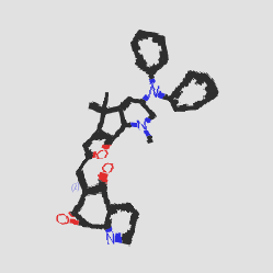 CN1CC(N(c2ccccc2)c2ccccc2)C=C2C1c1oc(/C=C3\C(=O)c4cccnc4C4OC34)cc1C2(C)C